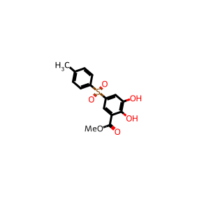 COC(=O)c1cc(S(=O)(=O)c2ccc(C)cc2)cc(O)c1O